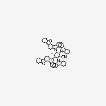 Cc1c(-n2c3ccccc3c3c4oc5ccccc5c4ccc32)c(-n2c3ccccc3c3ccccc32)c(C#N)c(-n2c3ccccc3c3ccccc32)c1-n1c2ccccc2c2c3oc4ccccc4c3ccc21